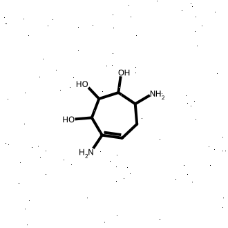 NC1=CCC(N)C(O)C(O)C1O